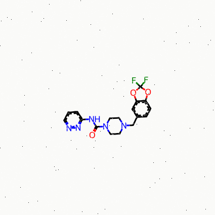 O=C(Nc1cccnn1)N1CCN(Cc2ccc3c(c2)OC(F)(F)O3)CC1